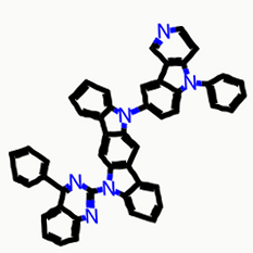 c1ccc(-c2nc(-n3c4ccccc4c4cc5c(cc43)c3ccccc3n5-c3ccc4c(c3)c3cnccc3n4-c3ccccc3)nc3ccccc23)cc1